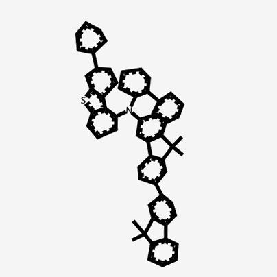 CC1(C)c2ccccc2-c2ccc(-c3ccc4c(c3)C(C)(C)c3ccc(N(c5ccccc5-c5ccccc5)c5cccc6sc7cc(-c8ccccc8)ccc7c56)cc3-4)cc21